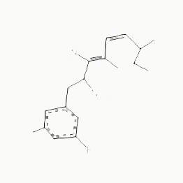 CCC(C)/C=C\C(C)=C(/N)C(N)Cc1cc(F)cc(F)c1